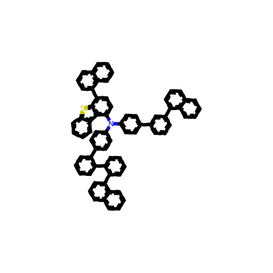 c1cc(-c2ccc(N(c3ccc(-c4ccccc4-c4ccccc4-c4cccc5ccccc45)cc3)c3ccc(-c4cccc5ccccc45)c4sc5ccccc5c34)cc2)cc(-c2cccc3ccccc23)c1